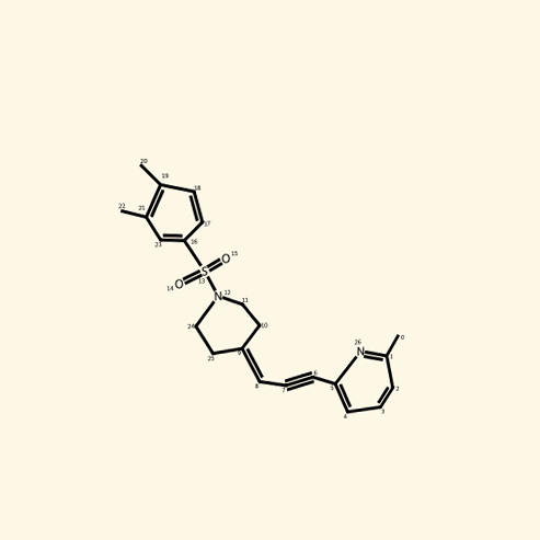 Cc1cccc(C#CC=C2CCN(S(=O)(=O)c3ccc(C)c(C)c3)CC2)n1